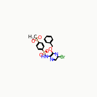 CS(=O)(=O)c1ccc(S(=O)(=O)Nc2ncc(Br)nc2OCc2ccccc2)cc1